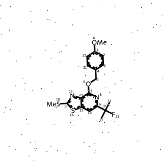 COc1ccc(COc2nc(C(C)(C)F)cc3sc(SC)nc23)cc1